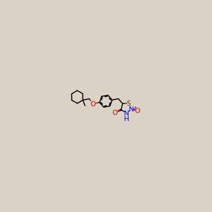 CC1(COc2ccc(CC3S[N+](=O)NC3=O)cc2)CCCCC1